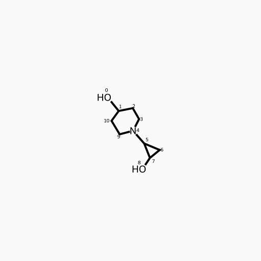 OC1CCN(C2CC2O)CC1